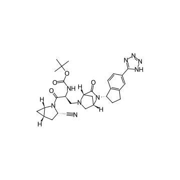 CC(C)(C)OC(=O)N[C@@H](CN1C[C@@H]2C[C@H]1C(=O)N2[C@H]1CCc2cc(-c3nnn[nH]3)ccc21)C(=O)N1[C@H](C#N)C[C@@H]2C[C@@H]21